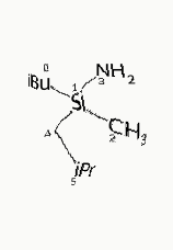 CCC(C)[Si](C)(N)CC(C)C